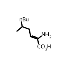 CCCCC(C)CC=C(N)C(=O)O